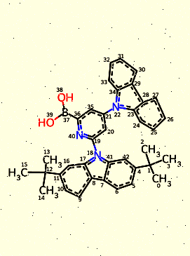 CC(C)(C)c1ccc2c3ccc(C(C)(C)C)cc3n(-c3cc(-n4c5ccccc5c5ccccc54)cc(B(O)O)n3)c2c1